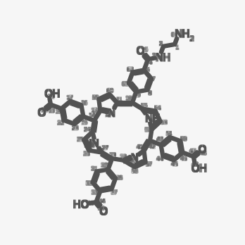 NCCNC(=O)c1ccc(-c2c3nc(c(-c4ccc(C(=O)O)cc4)c4ccc([nH]4)c(-c4ccc(C(=O)O)cc4)c4nc(c(-c5ccc(C(=O)O)cc5)c5ccc2[nH]5)C=C4)C=C3)cc1